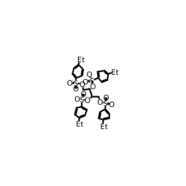 CCc1ccc(S(=O)(=O)OCC(OS(=O)(=O)c2ccc(CC)cc2)C(COS(=O)(=O)c2ccc(CC)cc2)OS(=O)(=O)c2ccc(CC)cc2)cc1